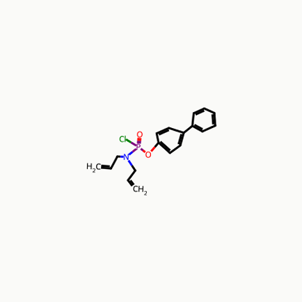 C=CCN(CC=C)P(=O)(Cl)Oc1ccc(-c2ccccc2)cc1